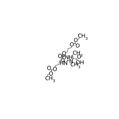 CCOC(=O)OCCCOP(=O)(NC(=N)N(C)C(CC)C(=O)O)OCCCOC(=O)OCC